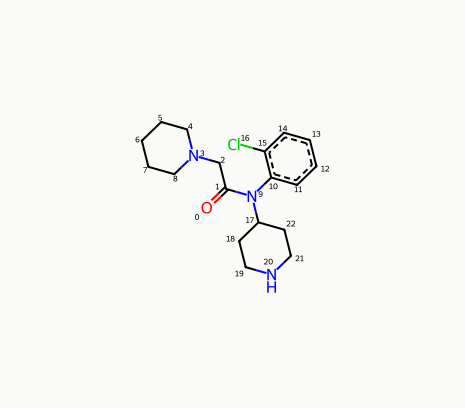 O=C(CN1CCCCC1)N(c1ccccc1Cl)C1CCNCC1